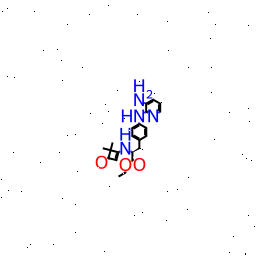 CCOC(=O)[C@H](Cc1ccc(Nc2ncccc2N)cc1)NC1=CC(=O)C1(C)C